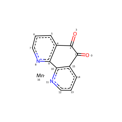 O=C1C(=O)c2cccnc2-c2ncccc21.[Mn]